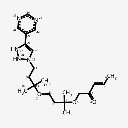 C/C=C/C(=O)COC(C)(C)CCOC(C)(C)CCN1C=C(c2cncnc2)NN1